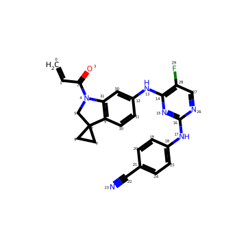 C=CC(=O)N1CC2(CC2)c2ccc(Nc3nc(Nc4ccc(C#N)cc4)ncc3F)cc21